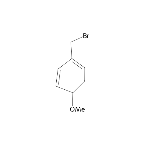 COC1C=CC(CBr)=CC1